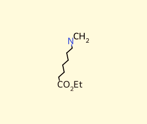 C=NCCCCCCC(=O)OCC